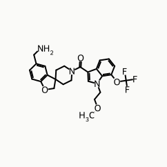 COCCn1cc(C(=O)N2CCC3(CC2)COc2ccc(CN)cc23)c2cccc(OC(F)(F)F)c21